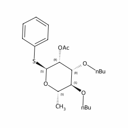 CCCCO[C@@H]1[C@@H](OCCCC)[C@H](C)O[C@@H](Sc2ccccc2)[C@@H]1OC(C)=O